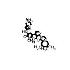 C=C1/C=C2/C(=O)N(c3nccc(-c4cc(Nc5cc6n(n5)CCN(C)C6)c(=O)n(C)c4)c3CO)CCN2CCC(C)(C)C1